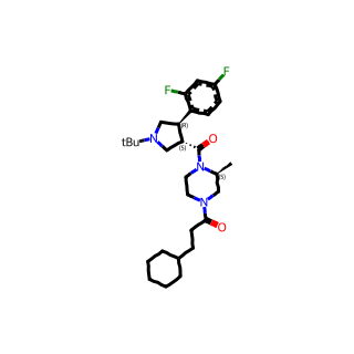 C[C@H]1CN(C(=O)CCC2CCCCC2)CCN1C(=O)[C@@H]1CN(C(C)(C)C)C[C@H]1c1ccc(F)cc1F